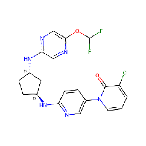 O=c1c(Cl)cccn1-c1ccc(N[C@H]2CC[C@H](Nc3cnc(OC(F)F)cn3)C2)nc1